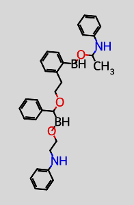 CC(Nc1ccccc1)OBc1ccccc1CCOC(BOCCNc1ccccc1)c1ccccc1